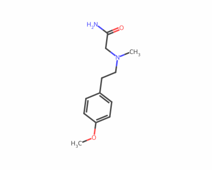 COc1ccc(CCN(C)CC(N)=O)cc1